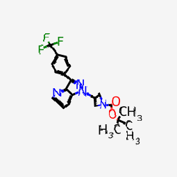 CC(C)(C)OC(=O)N1CC(n2nc(-c3ccc(C(F)(F)F)cc3)c3ncccc32)C1